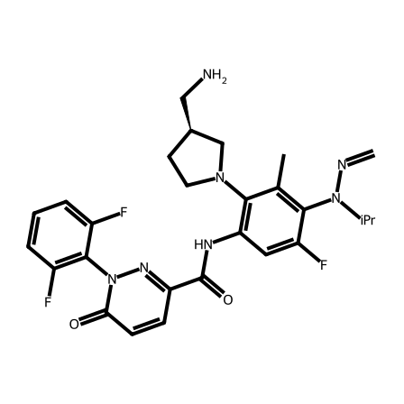 C=NN(c1c(F)cc(NC(=O)c2ccc(=O)n(-c3c(F)cccc3F)n2)c(N2CC[C@@H](CN)C2)c1C)C(C)C